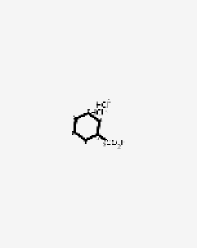 Cl.Cl.O=C(O)C1CCCCC1